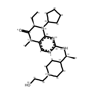 CC[C@@H]1C(=O)N(C)c2cnc(N[C@@H](C)C3CCN(CCO)CC3)nc2N1C1CCCC1